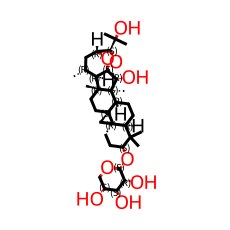 C[C@@H]1C[C@H]2O[C@@]3(O[C@@H]2C(C)(C)O)[C@H](O)[C@@]2(C)[C@@H]4CC[C@H]5C(C)(C)[C@@H](O[C@@H]6OC[C@H](O)[C@H](O)[C@H]6O)CC[C@@]56C[C@@]46CC[C@]2(C)[C@@H]13